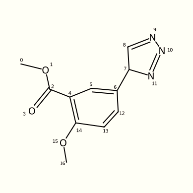 COC(=O)c1cc(C2C=NN=N2)ccc1OC